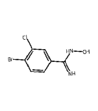 N=C(NO)c1ccc(Br)c(Cl)c1